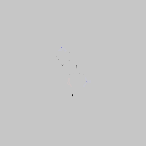 CC[C@@H]1CNCc2cc3cnccc3cc2O1